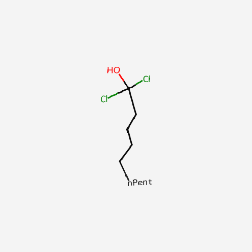 CCCCCCCCCC(O)(Cl)Cl